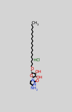 CCCCCCCCCCCCCCCCCCCCOC[C@H]1O[C@@H](n2ccc(N)nc2=O)[C@@H](O)[C@@H]1O.Cl